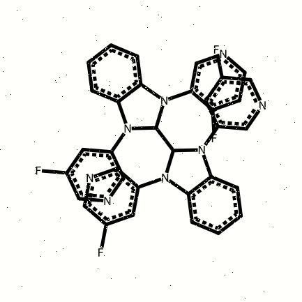 Fc1cncc(N2c3ccccc3N(c3cncc(F)c3)C2C2N(c3cncc(F)c3)c3ccccc3N2c2cnccc2F)c1